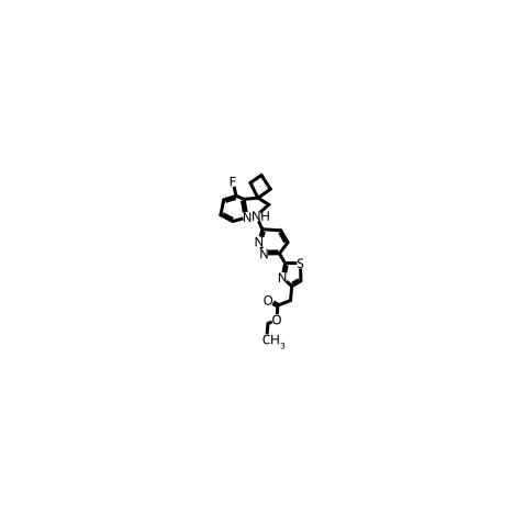 CCOC(=O)Cc1csc(-c2ccc(NCC3(c4ncccc4F)CCC3)nn2)n1